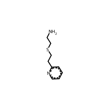 NCCSCCc1ccccn1